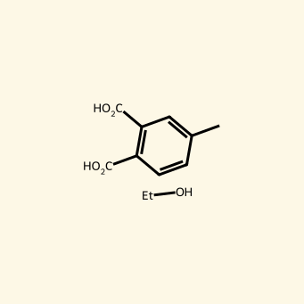 CCO.Cc1ccc(C(=O)O)c(C(=O)O)c1